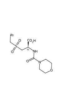 CC(C)CS(=O)(=O)C[C@H](NC(=O)N1CCOCC1)C(=O)O